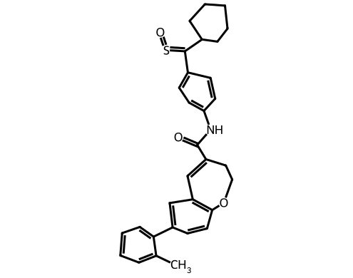 Cc1ccccc1-c1ccc2c(c1)C=C(C(=O)Nc1ccc(C(=S=O)C3CCCCC3)cc1)CCO2